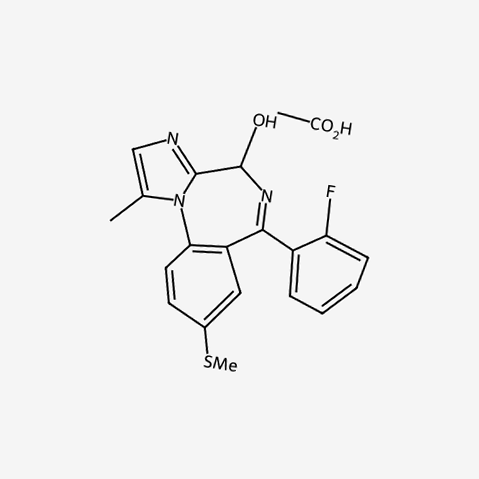 CC(=O)O.CSc1ccc2c(c1)C(c1ccccc1F)=NC(O)c1ncc(C)n1-2